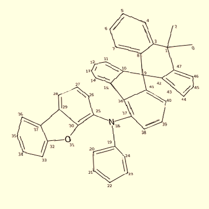 CC1(C)c2ccccc2C2(c3ccccc3-c3c(N(c4ccccc4)c4cccc5c4oc4ccccc45)cccc32)c2ccccc21